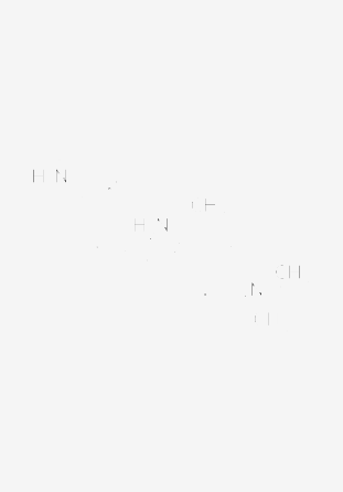 CC1C=C(N(C)C)C=CC1(N)CC1CCC(N)CC1